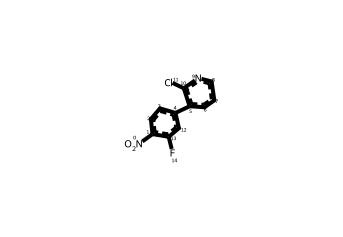 O=[N+]([O-])c1ccc(-c2cccnc2Cl)cc1F